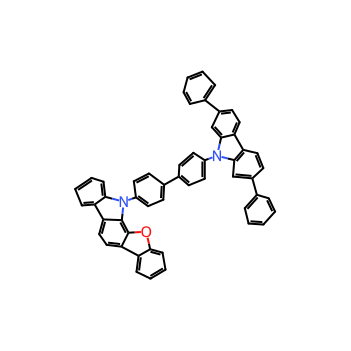 c1ccc(-c2ccc3c4ccc(-c5ccccc5)cc4n(-c4ccc(-c5ccc(-n6c7ccccc7c7ccc8c9ccccc9oc8c76)cc5)cc4)c3c2)cc1